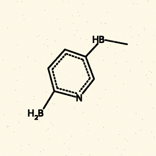 Bc1ccc(BC)cn1